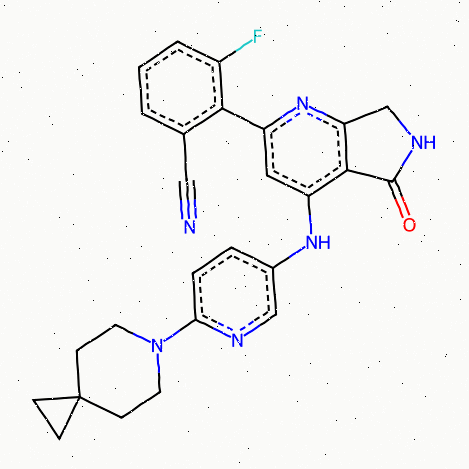 N#Cc1cccc(F)c1-c1cc(Nc2ccc(N3CCC4(CC3)CC4)nc2)c2c(n1)CNC2=O